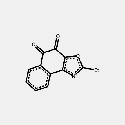 CCc1nc2c(o1)C(=O)C(=O)c1ccccc1-2